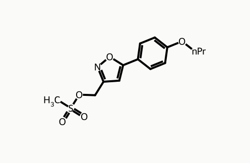 CCCOc1ccc(-c2cc(COS(C)(=O)=O)no2)cc1